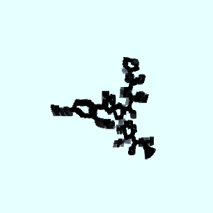 CCC[C@H](NC(=O)[C@@H]1C[C@]2(CC(c3ccc(OC)cc3OC)=NO2)CN1C(=O)[C@@H](NC(=O)O[C@H]1CCOC1)C(C)(C)C)C(=O)C(=O)NC1CC1